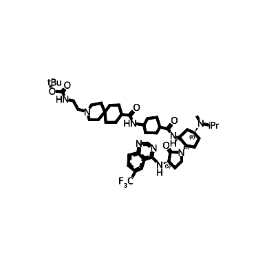 CC(C)N(C)[C@@H]1CC[C@H](N2CC[C@H](Nc3ncnc4ccc(C(F)(F)F)cc34)C2=O)[C@H](NC(=O)C2CCC(NC(=O)C3CCC4(CC3)CCN(CCNC(=O)OC(C)(C)C)CC4)CC2)C1